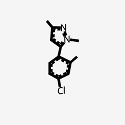 Cc1cc(-c2ccc(Cl)cc2C)n(C)n1